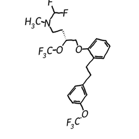 CN(CC[C@H](COc1ccccc1CCc1cccc(OC(F)(F)F)c1)OC(F)(F)F)C(F)F